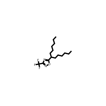 CCCCCCC(CCCCCC)c1nc(C(F)(F)F)no1